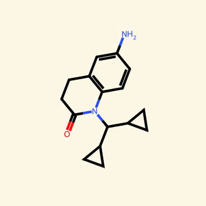 Nc1ccc2c(c1)CCC(=O)N2C(C1CC1)C1CC1